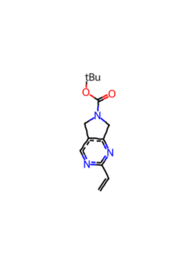 C=Cc1ncc2c(n1)CN(C(=O)OC(C)(C)C)C2